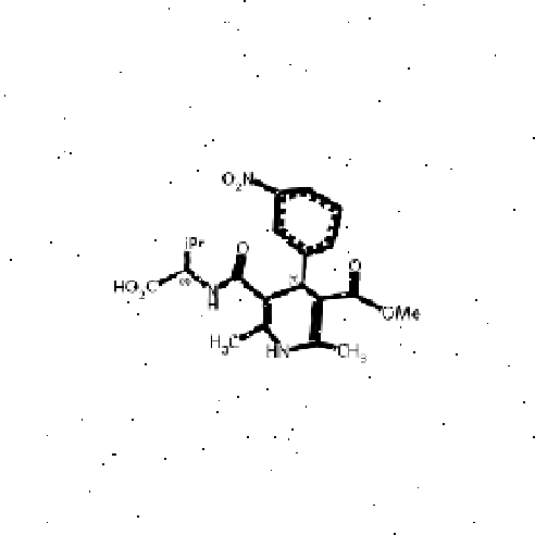 COC(=O)C1=C(C)NC(C)=C(C(=O)N[C@@H](C(=O)O)C(C)C)[C@H]1c1cccc([N+](=O)[O-])c1